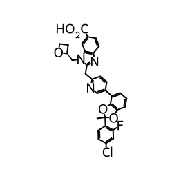 CC1(c2ccc(Cl)cc2F)Oc2cccc(-c3ccc(Cc4nc5ccc(C(=O)O)cc5n4C[C@@H]4CCO4)nc3)c2O1